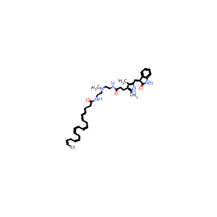 CC/C=C\C/C=C\C/C=C\C/C=C\C/C=C\CCCC(=O)NCCN(C)CCNC(=O)CCc1c(C)[nH]c(/C=C2\C(=O)Nc3ccccc32)c1C